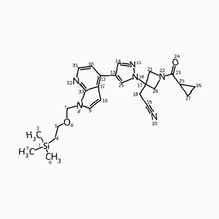 C[Si](C)(C)CCOCn1ccc2c(-c3cnn(C4(CC#N)CN(C(=O)C5CC5)C4)c3)ccnc21